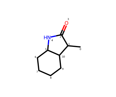 CC1C(=O)NC2CCCCC21